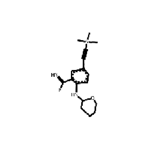 CS(C)(C)C#Cc1ccc(NC2CCCCO2)c(C(=N)F)c1